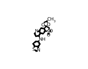 CC1COC2(CS(=O)(=O)c3cc4c(Nc5ccc6scnc6c5)ccnc4cc32)O1